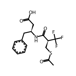 CC(=O)SC[C@@H](C(=O)N[C@H](CC(=O)O)Cc1ccccc1)C(F)(F)F